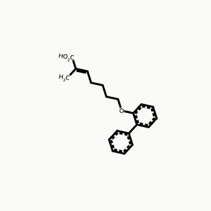 CC(=CCCCCOc1ccccc1-c1ccccc1)C(=O)O